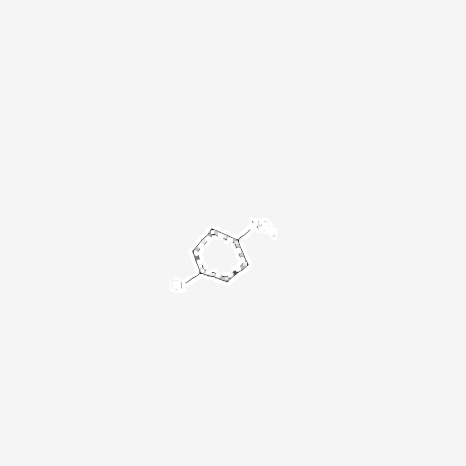 CCc1ccc([N+](=O)[O-])cc1